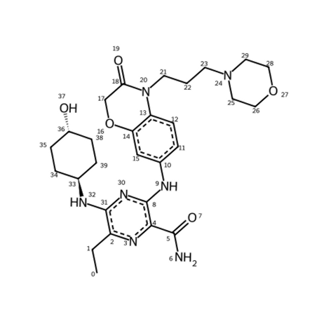 CCc1nc(C(N)=O)c(Nc2ccc3c(c2)OCC(=O)N3CCCN2CCOCC2)nc1N[C@H]1CC[C@H](O)CC1